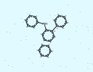 c1ccc(Nc2ccccc2-c2ccccc2)cc1.c1ccccc1